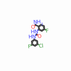 NC(=O)c1ccc(F)cc1NC(=O)Nc1cc(F)cc(Cl)c1